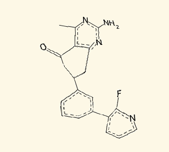 Cc1nc(N)nc2c1C(=O)CC(c1cccc(-c3cccnc3F)c1)C2